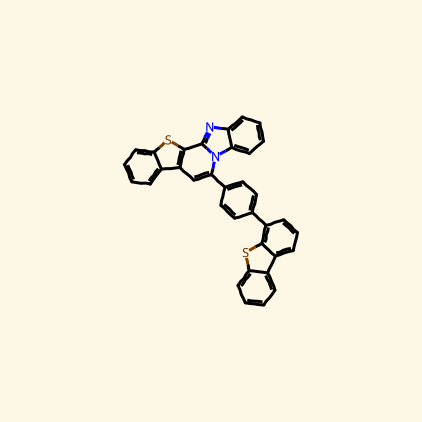 c1ccc2c(c1)nc1c3sc4ccccc4c3cc(-c3ccc(-c4cccc5c4sc4ccccc45)cc3)n21